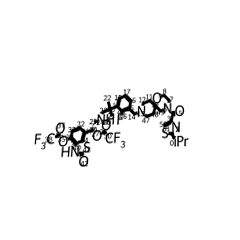 CC(C)c1nc(C(=O)N2CCOC3(CCN(Cc4cccc(C(C)(C)CNC[C@H](OC(=O)C(F)(F)F)c5ccc(OC(=O)C(F)(F)F)c6[nH]c(=O)sc56)c4F)CC3)C2)cs1